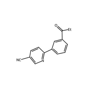 CCC(=O)c1cccc(-c2ccc(C#N)cn2)c1